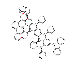 c1ccc(-c2cccc(-c3ccccc3)c2N2c3ccccc3B3c4cc5c(cc4N(c4ccccc4)c4cc(N6C7CC8CC(C7)CC6C8)cc2c43)N(c2ccccc2)c2cc(-n3c4ccccc4c4ccccc43)cc3c2B5c2ccccc2N3c2ccccc2)cc1